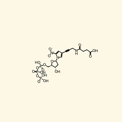 O=C(O)CCC(=O)NCC#Cc1cc([N+](=O)[O-])n([C@H]2C[C@H](O)[C@@H](COP(=O)(O)OP(=O)(O)OP(=O)(O)O)O2)c1